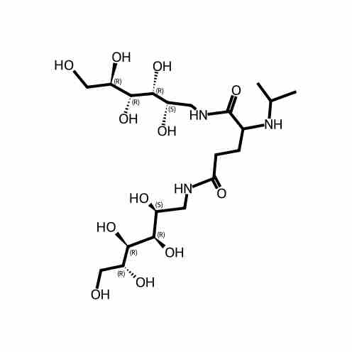 CC(C)NC(CCC(=O)NC[C@H](O)[C@@H](O)[C@H](O)[C@H](O)CO)C(=O)NC[C@H](O)[C@@H](O)[C@H](O)[C@H](O)CO